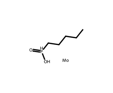 CCCCC[PH](=O)O.[Mo]